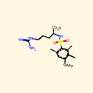 COc1cc(C)c(S(=O)(=O)NC(CCCNC(=N)N)C(=O)O)c(C)c1C